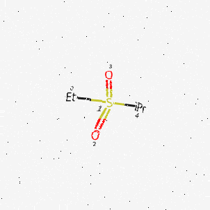 C[CH]S(=O)(=O)C(C)C